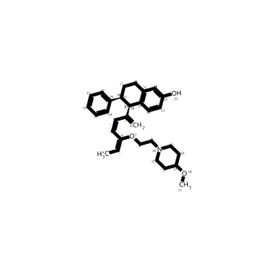 C=C(/C=C\C(=C/C)OCCN1CCC(OC)CC1)[C@@H]1c2ccc(O)cc2CC[C@@H]1c1ccccc1